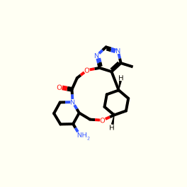 Cc1ncnc2c1[C@H]1CC[C@H](CC1)OCC1C(N)CCCN1C(=O)CO2